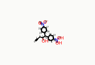 C#CCC(O)C(c1ccc(N(O)O)cc1)c1ccc([N+](=O)[O-])cc1